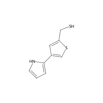 SCc1cc(-c2ccc[nH]2)cs1